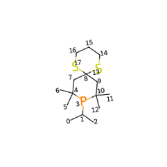 CC(C)P1C(C)(C)CC2(CC1(C)C)SCCCS2